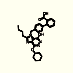 CCCCc1nc2c(OC3CCCCC3)nnc(O)c2n1Cc1ccc(-c2ccccc2C(=O)O)cc1